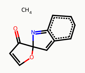 C.O=C1C=COC12C=c1ccccc1=N2